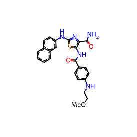 COCCNc1ccc(C(=O)Nc2sc(Nc3ccc4ccccc4c3)nc2C(N)=O)cc1